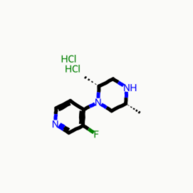 C[C@@H]1CN(c2ccncc2F)[C@H](C)CN1.Cl.Cl